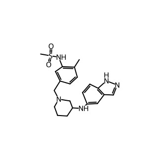 Cc1ccc(CN2CCCC(Nc3ccc4[nH]ncc4c3)C2)cc1NS(C)(=O)=O